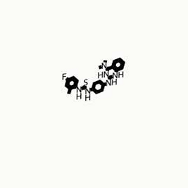 Cc1cc(F)ccc1NC(=S)NC1CCC(NC2Nc3ccccc3C(N(C)C)N2)CC1